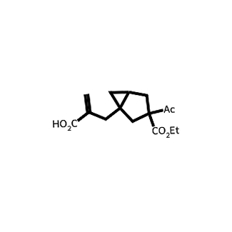 C=C(CC12CC1CC(C(C)=O)(C(=O)OCC)C2)C(=O)O